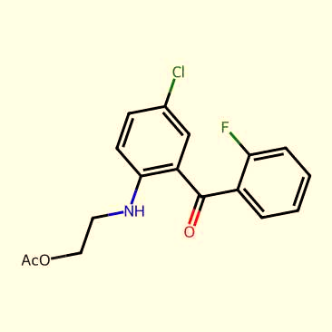 CC(=O)OCCNc1ccc(Cl)cc1C(=O)c1ccccc1F